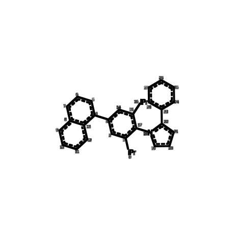 CC(C)c1cc(-c2cccc3ccccc23)cc(C(C)C)c1-n1cccc1-c1ccccc1